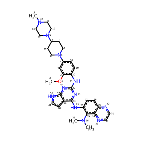 COc1cc(N2CCC(N3CCN(C)CC3)CC2)ccc1Nc1nc(Nc2ccc3nccnc3c2N(C)C)c2cc[nH]c2n1